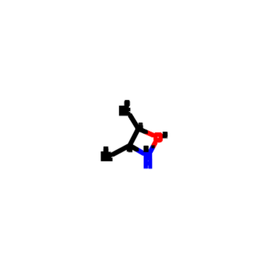 CC[C]1ONC1CC